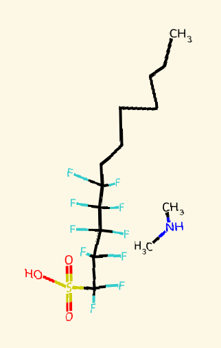 CCCCCCCC(F)(F)C(F)(F)C(F)(F)C(F)(F)C(F)(F)S(=O)(=O)O.CNC